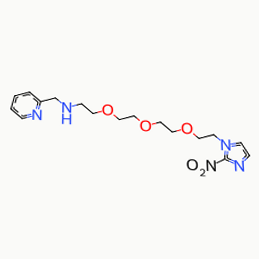 O=[N+]([O-])c1nccn1CCOCCOCCOCCNCc1ccccn1